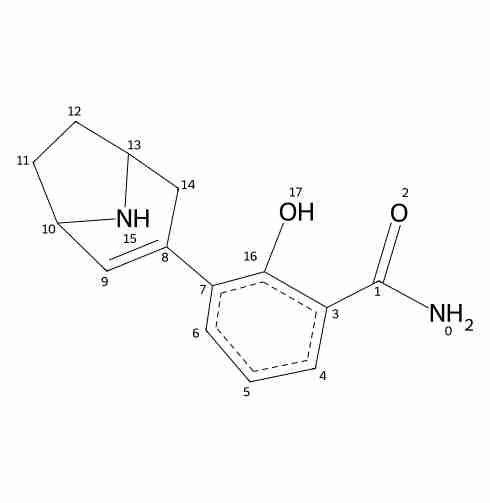 NC(=O)c1cccc(C2=CC3CCC(C2)N3)c1O